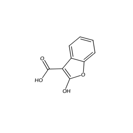 O=C(O)c1c(O)oc2ccccc12